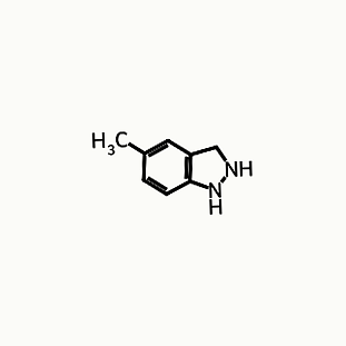 Cc1ccc2c(c1)CNN2